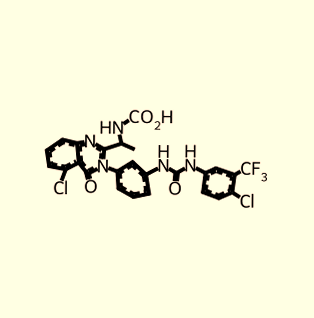 CC(NC(=O)O)c1nc2cccc(Cl)c2c(=O)n1-c1cccc(NC(=O)Nc2ccc(Cl)c(C(F)(F)F)c2)c1